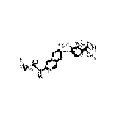 Cc1cc(C(C)(C)O)ncc1-c1ccc2cc(NC(=O)[C@@H]3C[C@@H]3F)ncc2c1